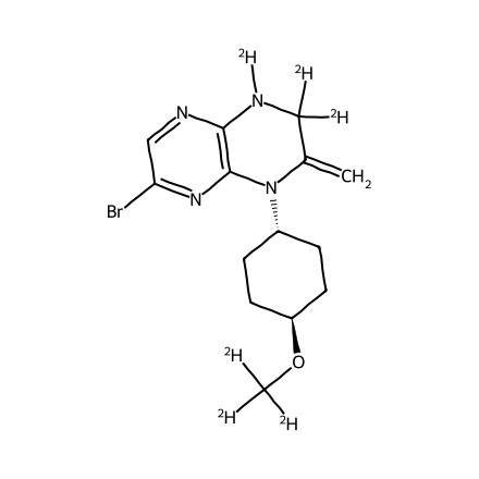 [2H]N1c2ncc(Br)nc2N([C@H]2CC[C@H](OC([2H])([2H])[2H])CC2)C(=C)C1([2H])[2H]